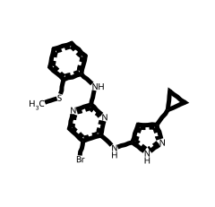 CSc1ccccc1Nc1ncc(Br)c(Nc2cc(C3CC3)n[nH]2)n1